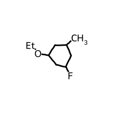 CCOC1CC(C)CC(F)C1